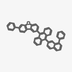 c1ccc(-c2ccc3c(c2)oc2ccc(-c4c5ccccc5c(-c5ccc6cccc(-c7ccccc7)c6c5)c5ccccc45)cc23)cc1